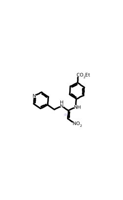 CCOC(=O)c1ccc(N/C(=C\[N+](=O)[O-])NCc2ccncc2)cc1